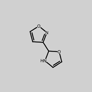 C1=COC(c2ccon2)N1